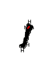 CN(C1CC1)S(=O)(=O)Nc1ccc(F)c(Oc2ccc3ncn(-c4cnc(N5CCN(C(=O)CN6CCC(c7ccc(N[C@@H]8CCC(=O)NC8=O)cc7F)CC6)CC5)nc4)c(=O)c3c2)c1C#N